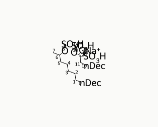 CCCCCCCCCCCCCCCC(C)OS(=O)(=O)O.CCCCCCCCCCCCOS(=O)(=O)O.O=S(=O)([O-])O.[Na+]